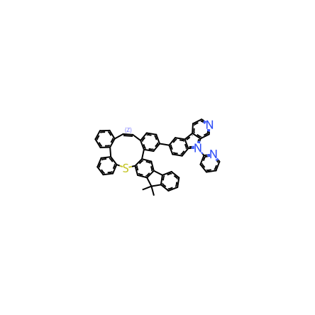 CC1(C)c2ccccc2-c2cc3c(cc21)Sc1ccccc1-c1ccccc1/C=C\c1ccc(-c2ccc4c(c2)c2ccncc2n4-c2ccccn2)cc1-3